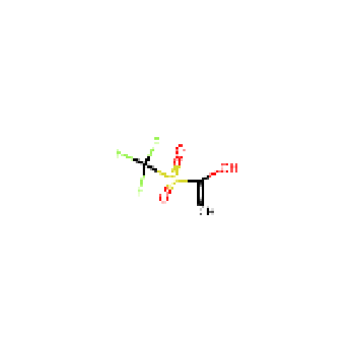 [CH]=C(O)S(=O)(=O)C(F)(F)F